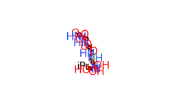 Cc1cc(C(=O)NCCNCc2ccc(-n3c(O)nnc3-c3cc(C(C)C)c(O)cc3O)cc2F)cc(C)c1OC(=O)Nc1cccc2c1CN(C1CCC(=O)NC1=O)C2=O